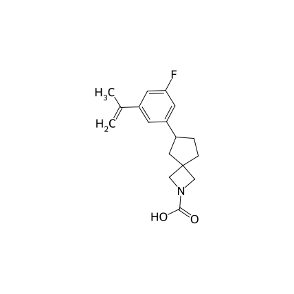 C=C(C)c1cc(F)cc(C2CCC3(C2)CN(C(=O)O)C3)c1